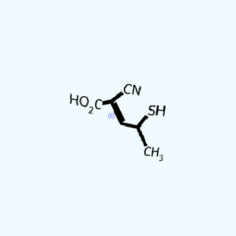 CC(S)/C=C(\C#N)C(=O)O